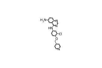 Nc1ccc2ncnc(Nc3ccc(OCc4ccncc4)c(Cl)c3)c2c1